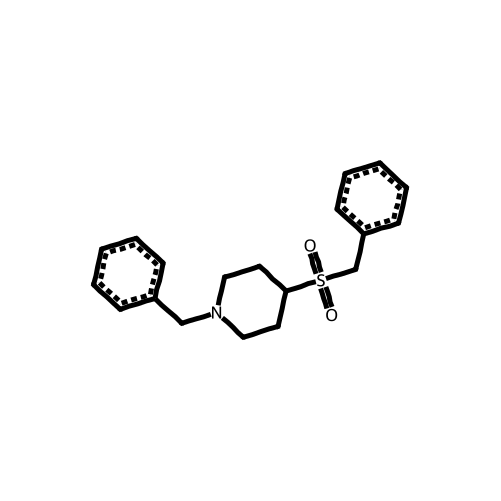 O=S(=O)(Cc1ccccc1)C1CCN(Cc2ccccc2)CC1